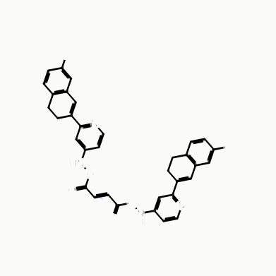 O=C(/C=C/C(=O)ONc1ccnc(C2=Cc3cc(Cl)ccc3CC2)c1)ONc1ccnc(C2=Cc3cc(Cl)ccc3CC2)c1